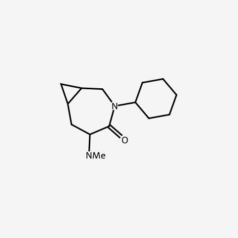 CNC1CC2CC2CN(C2CCCCC2)C1=O